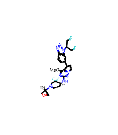 [2H]C1(N2CC[C@@H](Nc3nc(OC)c4c(-c5ccc6nnn(C(CF)CF)c6c5)ccn4n3)C(F)(F)C2)COC1